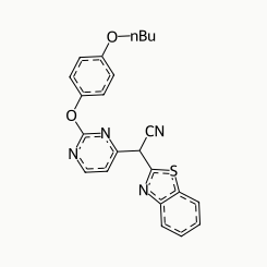 CCCCOc1ccc(Oc2nccc(C(C#N)c3nc4ccccc4s3)n2)cc1